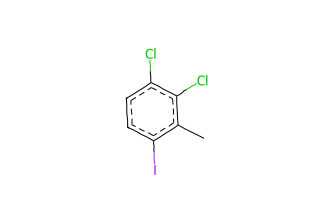 Cc1c(I)ccc(Cl)c1Cl